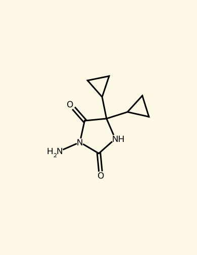 NN1C(=O)NC(C2CC2)(C2CC2)C1=O